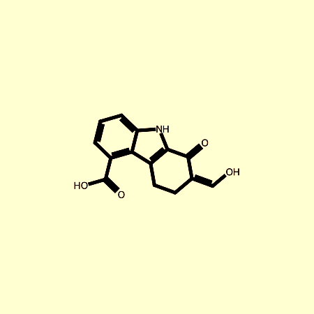 O=C1/C(=C\O)CCc2c1[nH]c1cccc(C(=O)O)c21